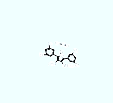 CCCCCCC1=C(c2cc(CC)cc(CC)c2)[N+](=[N-])C(c2cc(CC)cc(CC)c2)=C1CCCC.[Br][Ni][Br]